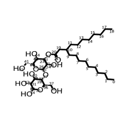 CCCCCCCCCCC(CCCCCCCC)CC(=O)O[C@@H]1[C@@H](O)[C@@H](O[C@H]2[C@H](O)[C@@H](O)[C@H](O)O[C@@H]2CO)O[C@H](CO)[C@H]1O